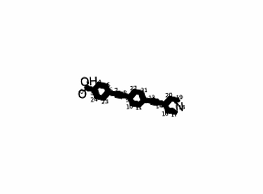 O=C(O)c1ccc(C#Cc2ccc(C#Cc3ccncc3)cc2)cc1